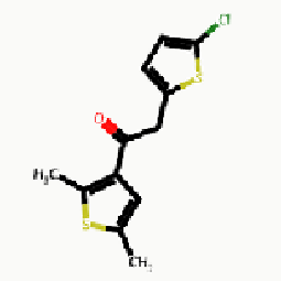 Cc1cc(C(=O)Cc2ccc(Cl)s2)c(C)s1